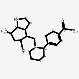 CC1CC(Cl)C(CN2CCCCC2C2=CC=C(C(N)=O)CC2)C2CCNC12